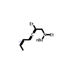 C/C=C\C=C=C(CC)CN(CC)CCCC